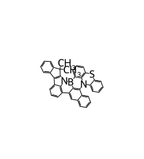 CC1(C)c2ccccc2-c2c1n1c3c(cccc23)-c2cc3ccccc3c3c2B1c1cccc2c1N3c1ccccc1S2